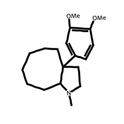 COc1ccc(C23CCCCCCC2N(C)CC3)cc1OC